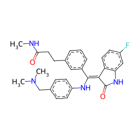 CNC(=O)CCc1cccc(/C(Nc2ccc(CN(C)C)cc2)=C2/C(=O)Nc3cc(F)ccc32)c1